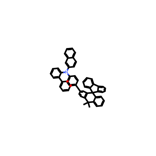 CC1(C)c2ccccc2C2(c3ccccc3-c3ccccc32)c2cc(-c3ccc(N(c4ccc5ccccc5c4)c4ccccc4-c4ccccc4)cc3)ccc21